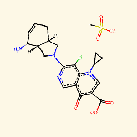 CS(=O)(=O)O.N[C@@H]1C=CC[C@@H]2CN(c3ncc4c(=O)c(C(=O)O)cn(C5CC5)c4c3Cl)C[C@@H]21